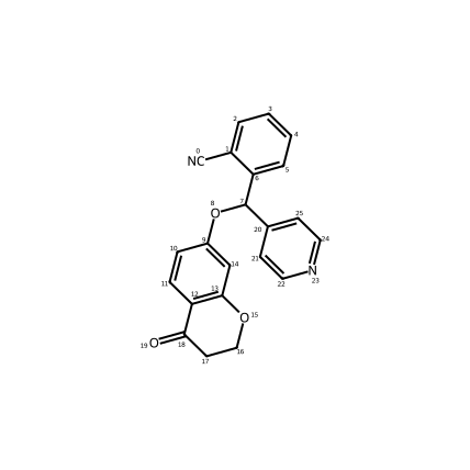 N#Cc1ccccc1C(Oc1ccc2c(c1)OCCC2=O)c1ccncc1